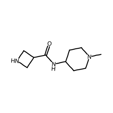 CN1CCC(NC(=O)C2CNC2)CC1